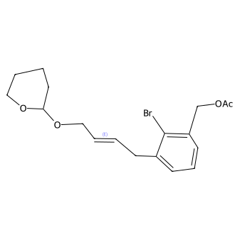 CC(=O)OCc1cccc(C/C=C/COC2CCCCO2)c1Br